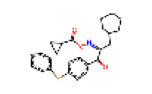 O=C(C(CC1CCCCC1)=NOC(=O)C1CC1)c1ccc(Sc2ccccc2)cc1